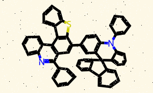 c1ccc(-c2nc3ccccc3c3c2cc(-c2ccc4c(c2)C2(c5ccccc5-c5ccccc52)c2ccccc2N4c2ccccc2)c2sc4ccccc4c23)cc1